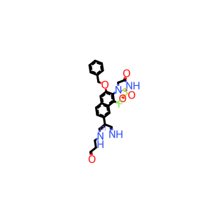 N=C/C(=C\NCCC=O)c1ccc2cc(OCc3ccccc3)c(N3CC(=O)NS3(=O)=O)c(F)c2c1